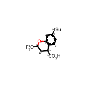 CC(C)(C)c1ccc2c(c1)OC(C(F)(F)F)CC2C(=O)O